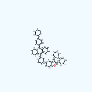 c1ccc(-c2ccc(-c3c4ccccc4c(-c4cccc(-c5ccc6oc7c8ccccc8c8ccccc8c7c6c5)c4)c4ccccc34)cc2)cc1